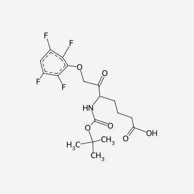 CC(C)(C)OC(=O)NC(CCCC(=O)O)C(=O)COc1c(F)c(F)cc(F)c1F